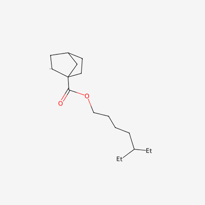 CCC(CC)CCCCOC(=O)C12[CH]CC(CC1)C2